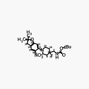 CC(C)(C)OC(=O)NCC1(F)CCN(c2cc3c(cc2[N+](=O)[O-])CC(C)(C)O3)CC1